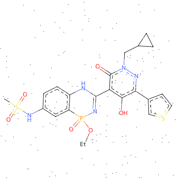 CCOP1(=O)N=C(c2c(O)c(-c3ccsc3)nn(CC3CC3)c2=O)Nc2ccc(NS(C)(=O)=O)cc21